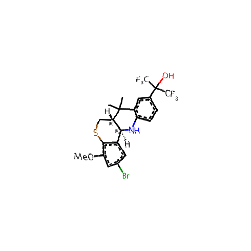 COc1cc(Br)cc2c1SC[C@H]1[C@H]2Nc2ccc(C(O)(C(F)(F)F)C(F)(F)F)cc2C1(C)C